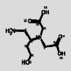 NCC(CCO)N(CC(=O)O)CC(=O)O